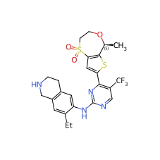 CCc1cc2c(cc1Nc1ncc(C(F)(F)F)c(-c3cc4c(s3)[C@H](C)OCCS4(=O)=O)n1)CCNC2